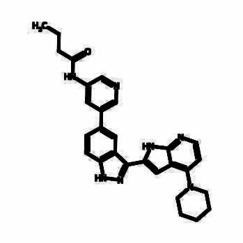 CCCC(=O)Nc1cncc(-c2ccc3[nH]nc(-c4cc5c(N6CCCCC6)ccnc5[nH]4)c3c2)c1